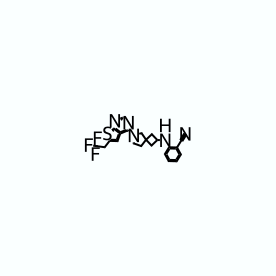 N#Cc1ccccc1NC1CC2(CCN(c3ncnc4sc(CC(F)(F)F)cc34)C2)C1